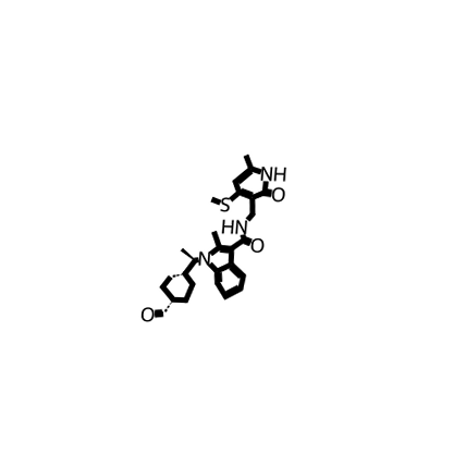 CSc1cc(C)[nH]c(=O)c1CNC(=O)c1c(C)n([C@H](C)[C@H]2CC[C@@H](C=O)CC2)c2ccccc12